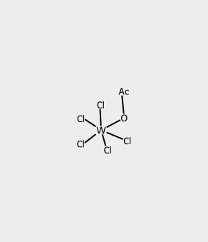 CC(=O)[O][W]([Cl])([Cl])([Cl])([Cl])[Cl]